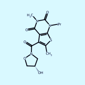 Cc1sc2c(c1C(=O)N1C[C@H](O)CO1)c(=O)n(C)c(=O)n2C(C)C